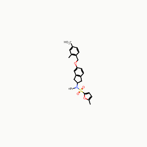 CCCN(C1Cc2ccc(OCc3ccc(C(=O)O)cc3C)cc2C1)S(=O)(=O)c1ccc(C)o1